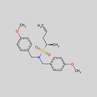 C=CC[C@@H](C)S(=O)(=O)N(Cc1ccc(OC)cc1)Cc1ccc(OC)cc1